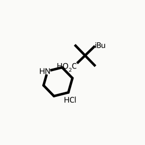 C1CCNCC1.CCC(C)C(C)(C)C(=O)O.Cl